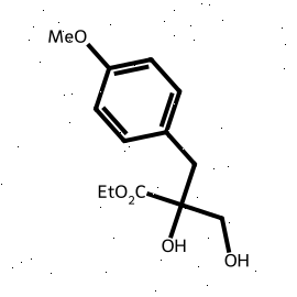 CCOC(=O)C(O)(CO)Cc1ccc(OC)cc1